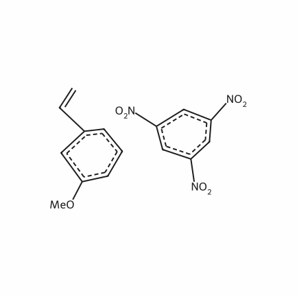 C=Cc1cccc(OC)c1.O=[N+]([O-])c1cc([N+](=O)[O-])cc([N+](=O)[O-])c1